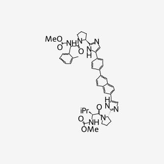 COC(=O)NC(C(=O)N1CCC[C@H]1c1ncc(-c2ccc(-c3ccc4cc(-c5cnc([C@@H]6CCCN6C(=O)[C@@H](NC(=O)OC)C(C)C)[nH]5)ccc4c3)cc2)[nH]1)c1ccccc1C